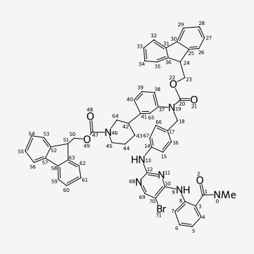 CNC(=O)c1ccccc1Nc1nc(Nc2ccc(CN(C(=O)OCC3c4ccccc4-c4ccccc43)c3cccc(C4CCCN(C(=O)OCC5c6ccccc6-c6ccccc65)C4)c3)cc2)ncc1Br